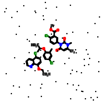 CC(C)OC(=O)c1cc(-n2c(=O)cc(C(F)(F)F)n(C)c2=O)ccc1Cl.Cc1cc(Cl)ccc1OC(C)C(=O)O.O=C(O)COc1ccc(Cl)c2cccnc12